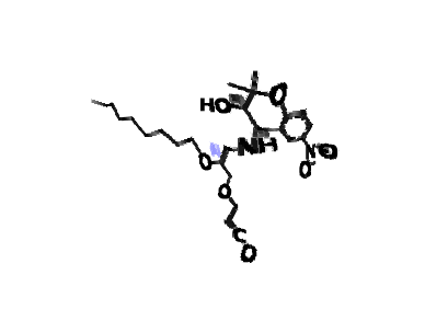 CCCCCCCCO/C(=C/N[C@H]1c2cc([N+](=O)[O-])ccc2OC(C)(C)[C@@H]1O)COCC=C=O